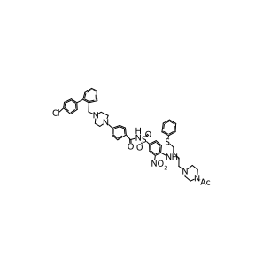 CC(=O)N1CCN(CC[C@H](CSc2ccccc2)Nc2ccc(S(=O)(=O)NC(=O)c3ccc(N4CCN(Cc5ccccc5-c5ccc(Cl)cc5)CC4)cc3)cc2[N+](=O)[O-])CC1